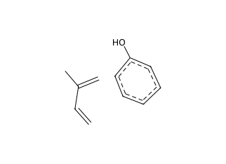 C=CC(=C)C.Oc1ccccc1